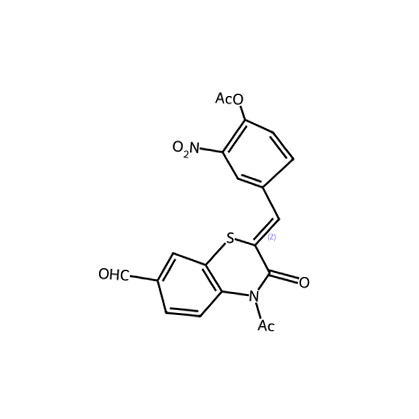 CC(=O)Oc1ccc(/C=C2\Sc3cc(C=O)ccc3N(C(C)=O)C2=O)cc1[N+](=O)[O-]